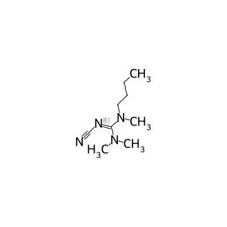 CCCCN(C)/C(=N/C#N)N(C)C